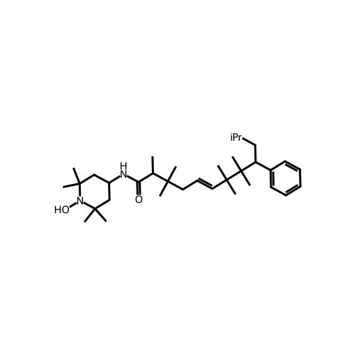 CC(C)CC(c1ccccc1)C(C)(C)C(C)(C)/C=C/CC(C)(C)C(C)C(=O)NC1CC(C)(C)N(O)C(C)(C)C1